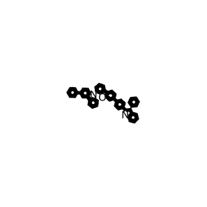 c1ccc(-c2ccc3c(c2)c2ccccc2n3-c2cccc3c2oc2cc(-c4ccc(C5=Nc6ccccc6[C@@H]5c5ccccc5)cc4)ccc23)cc1